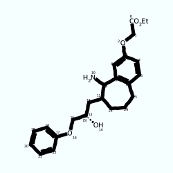 CCOC(=O)COc1ccc2c(c1)C(N)C(C[C@H](O)COc1ccccc1)CCC2